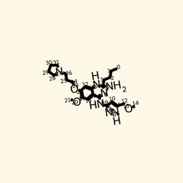 CCCCC1(N)N=C(Nc2cc(COC)[nH]n2)c2cc(OC)c(OCCCN3CCCC3)cc2N1